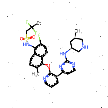 CCC(F)(F)CS(=O)(=O)Nc1c(F)ccc2c(Oc3ncccc3-c3ccnc(N[C@@H]4CNC[C@H](C)C4)n3)c(C)ccc12